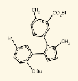 CCOC(=O)c1cc(-n2c(C)ccc2-c2cc(Br)ccc2OCC(C)C)ccc1C